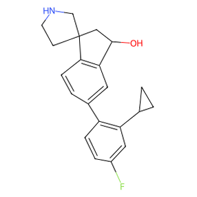 OC1CC2(CCNC2)c2ccc(-c3ccc(F)cc3C3CC3)cc21